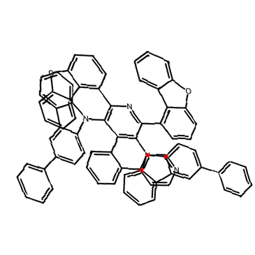 c1ccc(-c2ccc3c(c2)c2ccccc2n3-c2c(-c3cccc4oc5ccccc5c34)nc(-c3cccc4oc5ccccc5c34)c(-n3c4ccccc4c4cc(-c5ccccc5)ccc43)c2-c2ccccc2-c2ccncc2)cc1